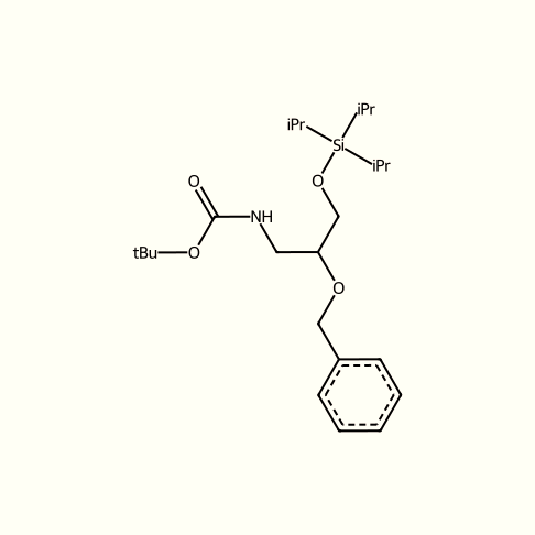 CC(C)[Si](OCC(CNC(=O)OC(C)(C)C)OCc1ccccc1)(C(C)C)C(C)C